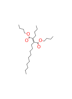 CCCCCCCCCCC(C(=O)OCCCC)=C(CCCC)C(=O)OCCCC